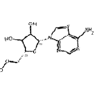 Nc1ncnc2c1ncn2[C@@H]1O[C@H](COO)C(O)C1O